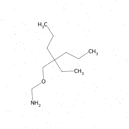 CCCC(CC)(CCC)COCN